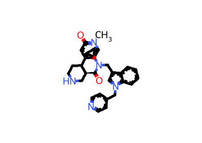 Cn1ccc(C2CCNC[C@@H]2C(=O)N(Cc2cn(Cc3ccncc3)c3ccccc23)C2CC2)cc1=O